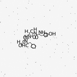 C[C@@H](NC(=O)[C@@H](N)Cc1ccc(O)cc1)C(=O)NCC(=O)N(C)[C@H]([C]=O)Cc1ccccc1